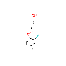 Cc1ccc(OCCCO)c(F)c1